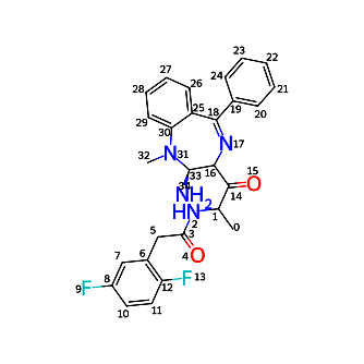 CC(NC(=O)Cc1cc(F)ccc1F)C(=O)C1N=C(c2ccccc2)c2ccccc2N(C)[C@@H]1N